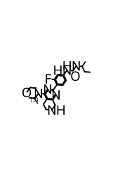 CCC(C)NC(=O)Nc1ccc(-c2nc3c(c(N4CCOC[C@@H]4C)n2)CCNC3)c(F)c1